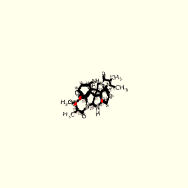 CN1C(=O)C23SSC1(C)C(=O)N2C1Nc2ccccc2C1(C12c4ccccc4NC1N1C(=O)C4(C)SSC1(C(=O)N4C)C2O)C3O